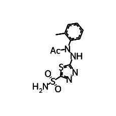 CC(=O)N(Nc1nnc(S(N)(=O)=O)s1)c1ccccc1C